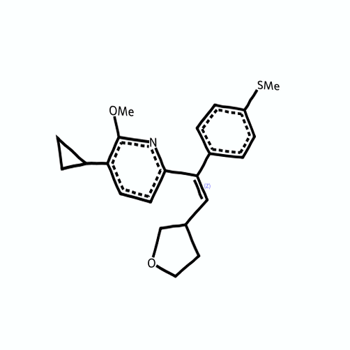 COc1nc(/C(=C\C2CCOC2)c2ccc(SC)cc2)ccc1C1CC1